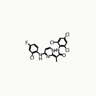 Cc1c(=O)n(-c2c(Cl)cc(Cl)cc2Cl)n2ccc(Nc3ccc(F)cc3Cl)nc12